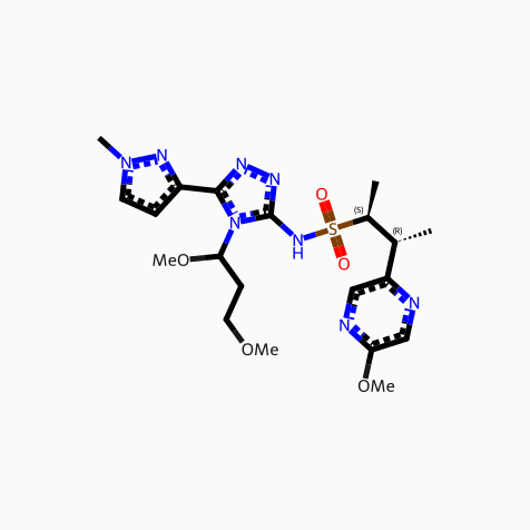 COCCC(OC)n1c(NS(=O)(=O)[C@@H](C)[C@H](C)c2cnc(OC)cn2)nnc1-c1ccn(C)n1